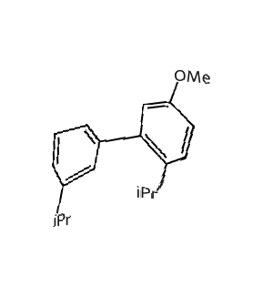 COc1ccc(C(C)C)c(-c2cccc(C(C)C)c2)c1